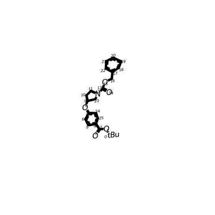 CC(C)(C)OC(=O)c1ccc(OC2CCN(C(=O)OCc3ccccc3)C2)cc1